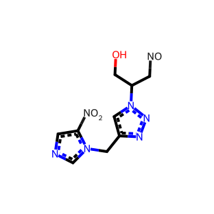 O=NCC(CO)n1cc(Cn2cncc2[N+](=O)[O-])nn1